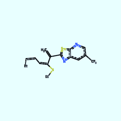 C=C(/C(=C\C=C/CC)SCC)c1nc2cc(C(F)(F)F)cnc2s1